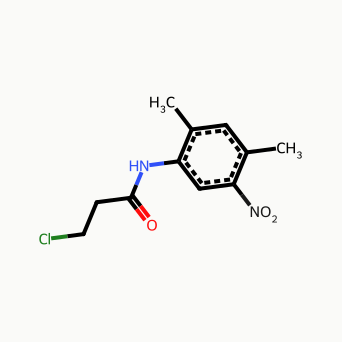 Cc1cc(C)c([N+](=O)[O-])cc1NC(=O)CCCl